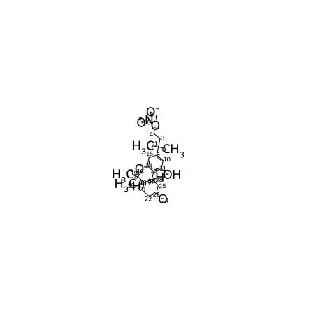 CC(C)(CCO[N+](=O)[O-])c1cc(O)c2c(c1)OC(C)(C)[C@@H]1CCC(=O)C[C@@H]21